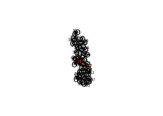 COCC1O[C@@H](O[C@H]2C(OC)C(OC)[C@@H](O[C@H]3C(OC)C(OC)[C@H](O[C@@H]4C(COC(C)=O)O[C@@H](C)C(OC)[C@H]4OC)O[C@H]3COC)O[C@H]2COC)C(OC)[C@@H](OC)[C@@H]1O[C@H]1OC(CN2C(=O)c3ccccc3C2=O)[C@@H](O[C@@H]2O[C@@H](COC(C)=O)[C@@H](O[C@H]3O[C@@H](COC(C)=O)[C@@H](OC(C)=O)C(OC(C)=O)C3OC(C)=O)C(OC(C)=O)C2OC(C)=O)[C@H](OC)C1OC